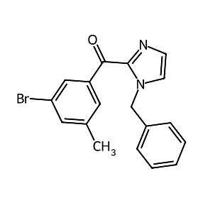 Cc1cc(Br)cc(C(=O)c2nccn2Cc2ccccc2)c1